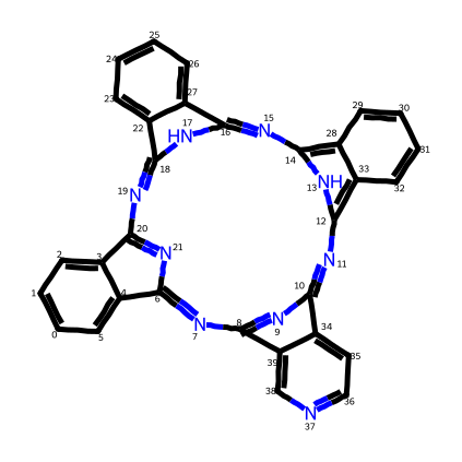 c1ccc2c(c1)-c1nc3nc(nc4[nH]c(nc5[nH]c(nc-2n1)c1ccccc51)c1ccccc41)-c1ccncc1-3